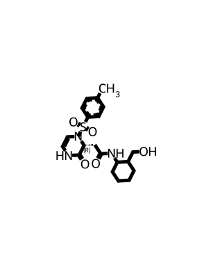 Cc1ccc(S(=O)(=O)N2C=CNC(=O)[C@H]2CC(=O)NC2CCCCC2CO)cc1